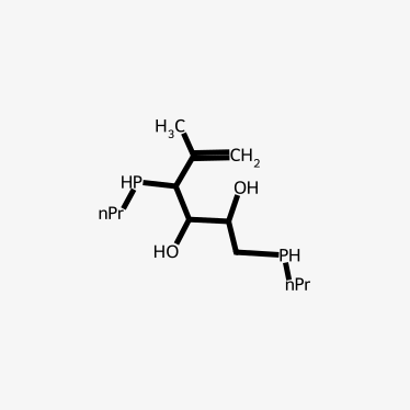 C=C(C)C(PCCC)C(O)C(O)CPCCC